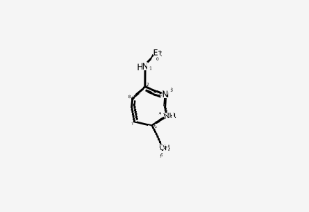 CCNC1=NNC(O)C=C1